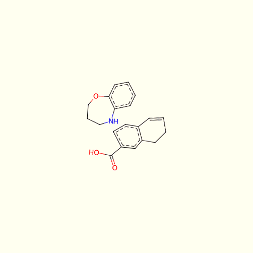 O=C(O)c1ccc2c(c1)CCC=C2.c1ccc2c(c1)NCCCO2